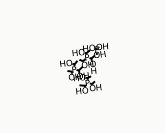 CC(O)P(C(C)O)C(C)O.CC(O)P(C(C)O)C(C)O.CC(O)P(C(C)O)C(C)O.OP(O)O